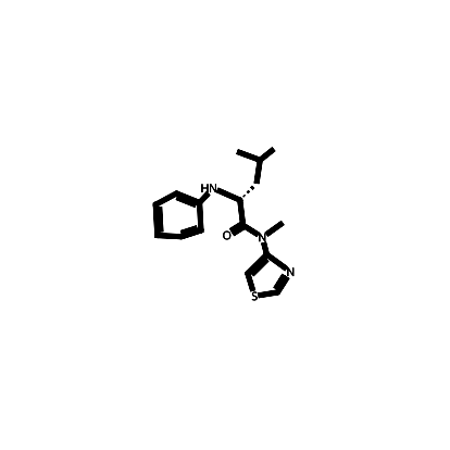 CC(C)C[C@@H](Nc1ccccc1)C(=O)N(C)c1cscn1